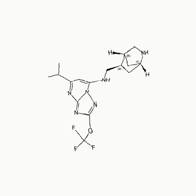 CC(C)c1cc(NC[C@@H]2C[C@@H]3C[C@H]2CN3)n2nc(OC(F)(F)F)nc2n1